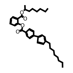 CCCCCCCCc1ccc(-c2ccc(C(=O)Oc3ccccc3C(=O)OC(C)CCCCCC)cc2)cc1